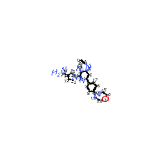 C#C/N=C1/C=C(c2ccc(N3CCOCC3)cc2)N=C(N2CC[C@@H](CN)C2)/C1=N/C